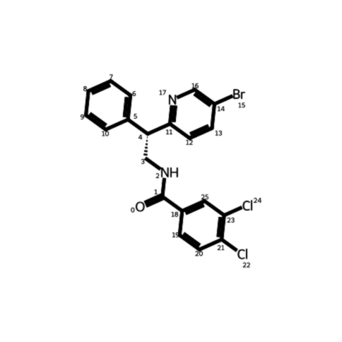 O=C(NC[C@H](c1ccccc1)c1ccc(Br)cn1)c1ccc(Cl)c(Cl)c1